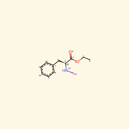 CCOC(=O)[C@H](Cc1ccccc1)NI